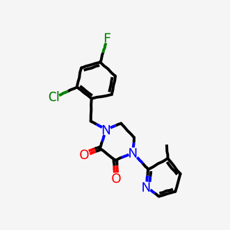 Cc1cccnc1N1CCN(Cc2ccc(F)cc2Cl)C(=O)C1=O